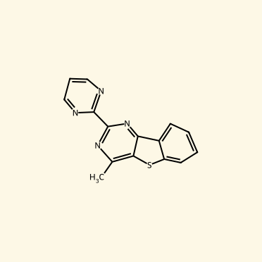 Cc1nc(-c2ncccn2)nc2c1sc1ccccc12